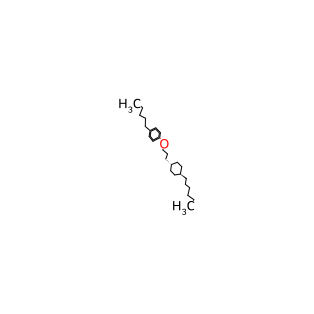 CCCCCC[C@H]1CC[C@H](CCCOc2ccc(CCCCC)cc2)CC1